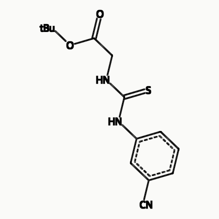 CC(C)(C)OC(=O)CNC(=S)Nc1cccc(C#N)c1